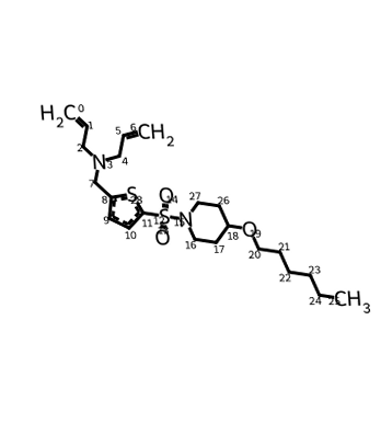 C=CCN(CC=C)Cc1ccc(S(=O)(=O)N2CCC(OCCCCCC)CC2)s1